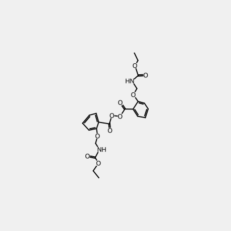 CCOC(=O)NCOc1ccccc1C(=O)OOC(=O)c1ccccc1OCNC(=O)OCC